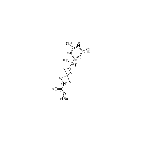 CC(C)(C)OC(=O)N1CC2(CC(C(F)(F)c3cc(Cl)nc(Cl)c3)C2)C1